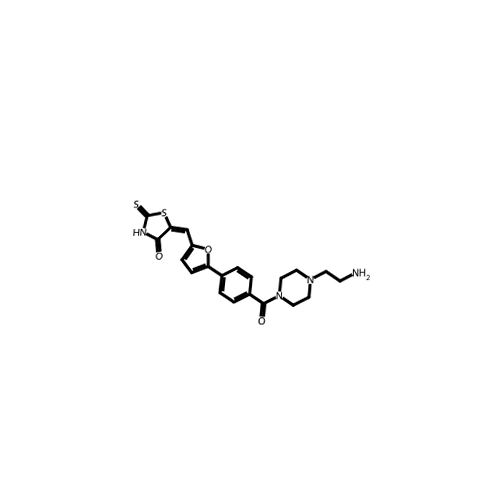 NCCN1CCN(C(=O)c2ccc(-c3ccc(/C=C4/SC(=S)NC4=O)o3)cc2)CC1